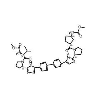 COC(=O)N[C@@H]1CC[C@H](C(=O)N2CCC[C@H]2c2ncc(-c3ccc(-c4ccc(-c5cnc([C@@H]6CCCN6C(=O)[C@@H](NC(=O)OC)C(C)C)[nH]5)cc4)cc3)[nH]2)C1